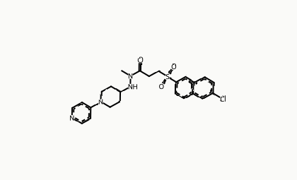 CN(NC1CCN(c2ccncc2)CC1)C(=O)CCS(=O)(=O)c1ccc2cc(Cl)ccc2c1